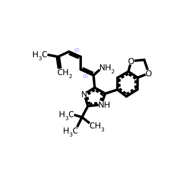 C=C(C)/C=C\C=C(/N)c1nc(C(C)(C)C)[nH]c1-c1ccc2c(c1)OCO2